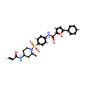 C=CC(=O)NC1CCN(S(=O)(=O)c2ccc(NC(=O)c3ccc(-c4ccccc4)o3)cc2)C(C)C1